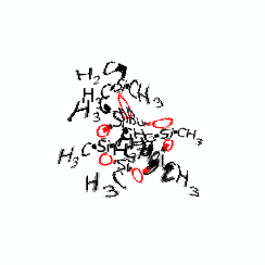 C=C[Si](C)(C)O[Si](C)(C)O[Si](C)(C)O[Si](C)(C)O[Si](C)(C)O[Si](C)(C)OCCCC